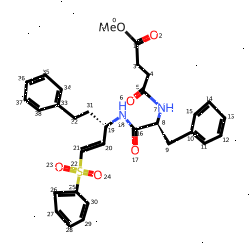 COC(=O)CCC(=O)N[C@@H](Cc1ccccc1)C(=O)N[C@H](C=CS(=O)(=O)c1ccccc1)CCc1ccccc1